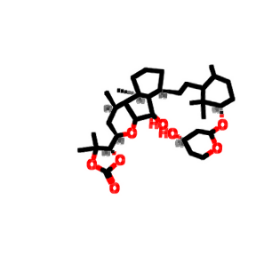 CC1CC[C@H](OC2C[C@@H](O)CCO2)C(C)(C)C1CC[C@@H]1CCC[C@@]2(C)C1C(O)C1O[C@@H]([C@@H]3OC(=O)OC3(C)C)C[C@@H](C)C12